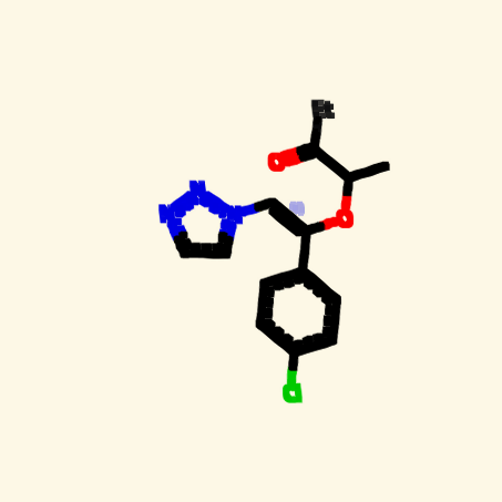 CCC(=O)C(C)O/C(=C/n1ccnn1)c1ccc(Cl)cc1